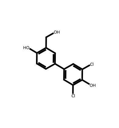 OCc1cc(-c2cc(Cl)c(O)c(Cl)c2)ccc1O